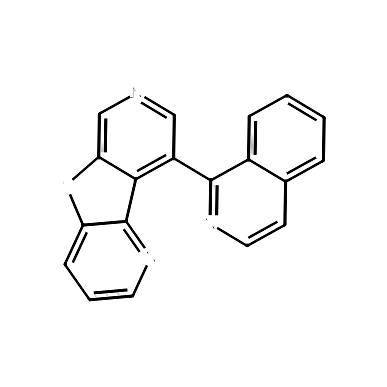 c1ccc2c(-c3cncc4sc5cccnc5c34)nccc2c1